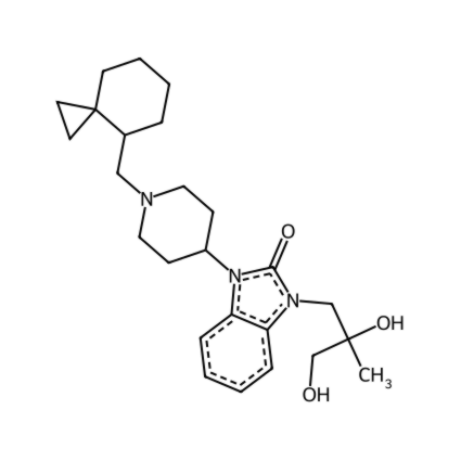 CC(O)(CO)Cn1c(=O)n(C2CCN(CC3CCCCC34CC4)CC2)c2ccccc21